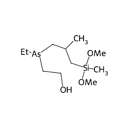 CC[As](CCO)CC(C)C[Si](C)(OC)OC